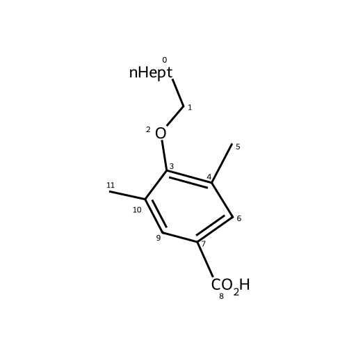 CCCCCCCCOc1c(C)cc(C(=O)O)cc1C